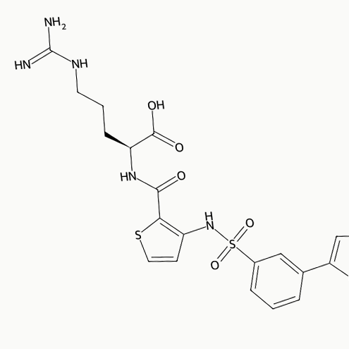 N=C(N)NCCC[C@H](NC(=O)c1sccc1NS(=O)(=O)c1cccc(-c2ccco2)c1)C(=O)O